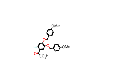 COc1ccc(COc2cc(F)c(C(=O)C(=O)O)cc2OCc2ccc(OC)cc2)cc1